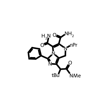 CCCN1Cc2c(C(C(=O)NC)C(C)(C)C)nc(-c3ccccc3)n2C(C(N)=O)=C1C(N)=O